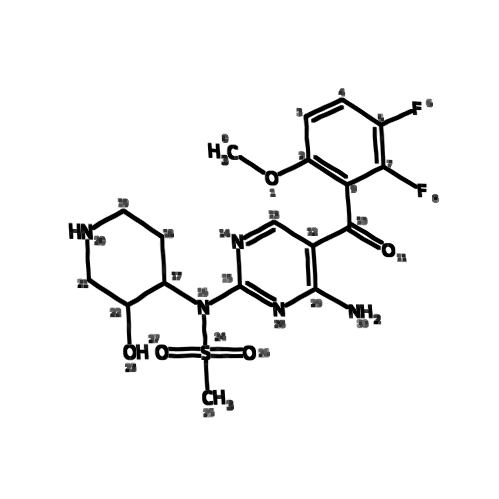 COc1ccc(F)c(F)c1C(=O)c1cnc(N(C2CCNCC2O)S(C)(=O)=O)nc1N